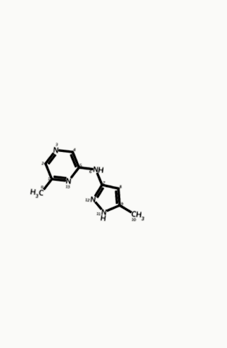 Cc1cncc(Nc2cc(C)[nH]n2)n1